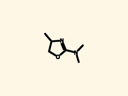 CC1COC(N(C)C)=N1